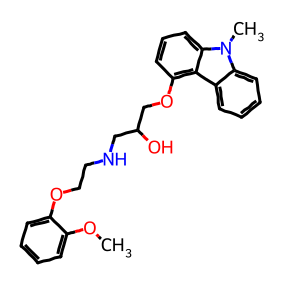 COc1ccccc1OCCNCC(O)COc1cccc2c1c1ccccc1n2C